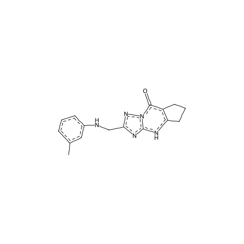 Cc1cccc(NCc2nc3[nH]c4c(c(=O)n3n2)CCC4)c1